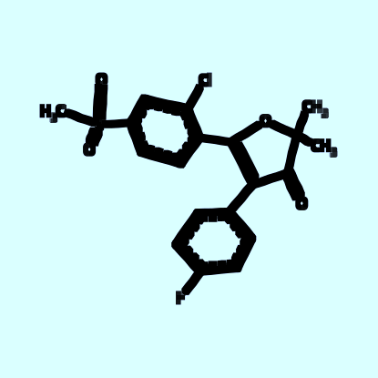 CC1(C)OC(c2ccc(S(C)(=O)=O)cc2Cl)=C(c2ccc(F)cc2)C1=O